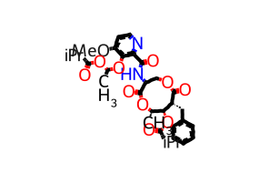 COc1ccnc(C(=O)NC2COC(=O)[C@H](Cc3ccccc3)[C@@H](OC(=O)C(C)C)[C@H](C)OC2=O)c1OC(C)OC(=O)C(C)C